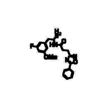 B[C@H](Cc1cc(F)cc(OC)c1)NC(=O)CCc1noc(-c2ccccc2)n1